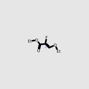 CCO/C=C(\F)C(=O)OCC